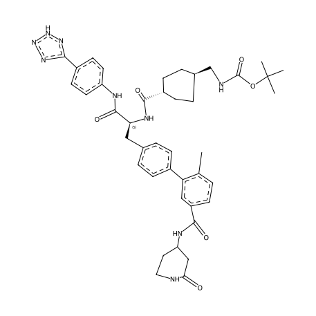 Cc1ccc(C(=O)NC2CCNC(=O)C2)cc1-c1ccc(C[C@H](NC(=O)[C@H]2CC[C@H](CNC(=O)OC(C)(C)C)CC2)C(=O)Nc2ccc(-c3nn[nH]n3)cc2)cc1